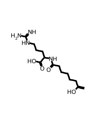 C=C(O)CCCCCC(=O)NC(CCCNC(=N)N)C(=O)O